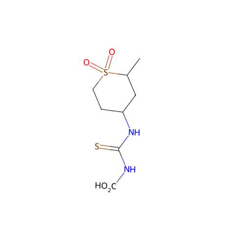 CC1CC(NC(=S)NC(=O)O)CCS1(=O)=O